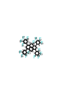 Fc1cc(-c2cc(-c3cc(F)c(F)c(F)c3F)c3ccc4c(-c5cc(F)c(F)c(F)c5F)cc(-c5cc(F)c(F)c(F)c5F)c5ccc2c3c54)c(F)c(F)c1F